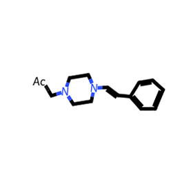 CC(=O)CN1CCN(/C=C/c2ccccc2)CC1